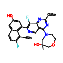 C#Cc1c(F)ccc2cc(O)cc(-c3ncc4c(N5CCOCC(C)(O)C5)nc(OC)nc4c3F)c12